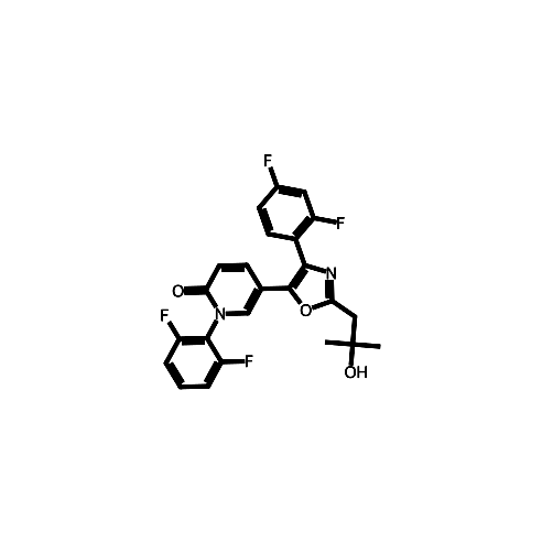 CC(C)(O)Cc1nc(-c2ccc(F)cc2F)c(-c2ccc(=O)n(-c3c(F)cccc3F)c2)o1